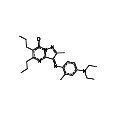 CCCc1nc2n(c(=O)c1CCC)N=C(C)C2=Nc1ccc(N(CC)CC)cc1C